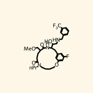 CCCN1CCCCOc2cc(F)cc(c2)CC(C(O)CNCc2cccc(C(F)(F)F)c2)NC(=O)C(COC)CCC1=O